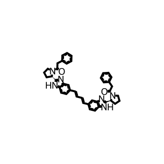 O=C(Cc1ccccc1)N1CCC[C@H]1c1nc2cc(C=CC=Cc3ccc4[nH]c([C@@H]5CCCN5C(=O)Cc5ccccc5)nc4c3)ccc2[nH]1